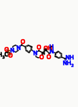 CS(=O)(=O)N1CCN(C(=O)c2ccc(N3CCO[C@H]([C@@H](O)C(=O)Nc4ccc(C(=N)N)cc4)C3=O)cc2)CC1